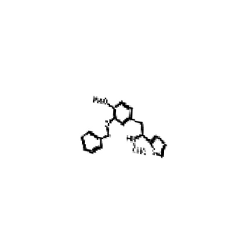 COc1ccc(CC(NC=O)c2cccs2)cc1OCc1ccccc1